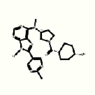 CCn1c(-c2cnc(C)nc2)nc2c(N(C)[C@H]3CCN(C(=O)[C@H]4CC[C@@H](O)CC4)C3)ncnc21